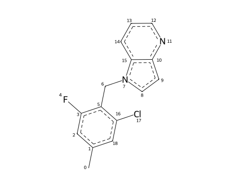 Cc1cc(F)c(Cn2ccc3ncccc32)c(Cl)c1